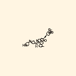 Cc1ccccc1Cn1c(=O)c(C#CC2CCN(S(C)(=O)=O)CC2)cc2cnc(Nc3ccc(N(C)C4CCNCC4)cc3)nc21